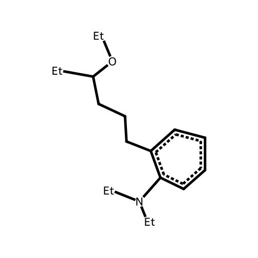 CCOC(CC)CCCc1ccccc1N(CC)CC